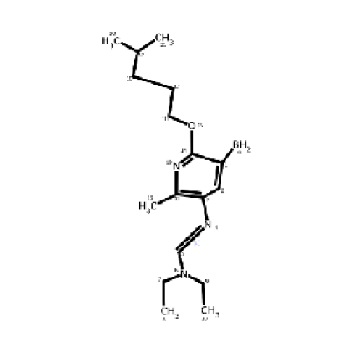 Bc1cc(/N=C/N(CC)CC)c(C)nc1OCCCC(C)C